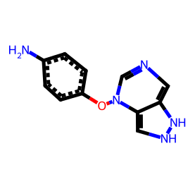 Nc1ccc(ON2C=NC=C3NNC=C32)cc1